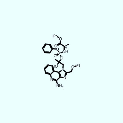 CCOCc1nc2c(N)nc3ccccc3c2n1CC(C)(O)OP(=O)(N[C@H](C)C(=O)OC(C)C)Oc1ccccc1